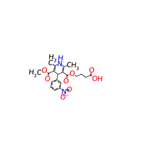 COC(=O)C1=C(C)NC(C)=C(C(=O)OCCCC(=O)O)C1c1cccc([N+](=O)[O-])c1